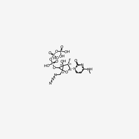 CNc1ccn([C@@H]2O[C@]3(CN=[N+]=[N-])C(OP(=O)(O)OP(=O)(O)OP(=O)(O)O)[C@]3(O)[C@H]2F)c(=O)n1